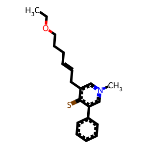 CCOCCCC=CCc1cn(C)cc(-c2ccccc2)c1=S